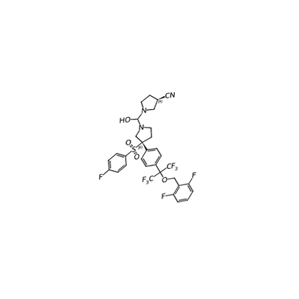 N#C[C@@H]1CCN(C(O)N2CC[C@](c3ccc(C(OCc4c(F)cccc4F)(C(F)(F)F)C(F)(F)F)cc3)(S(=O)(=O)c3ccc(F)cc3)C2)C1